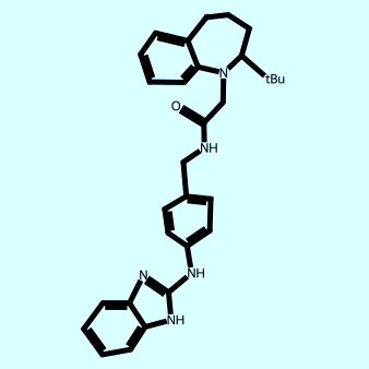 CC(C)(C)C1CC[C]c2ccccc2N1CC(=O)NCc1ccc(Nc2nc3ccccc3[nH]2)cc1